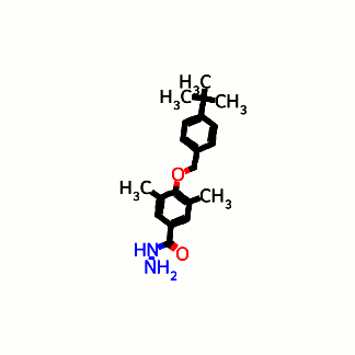 Cc1cc(C(=O)NN)cc(C)c1OCc1ccc(C(C)(C)C)cc1